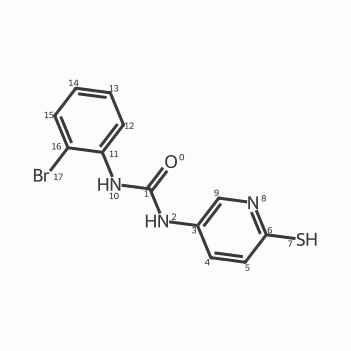 O=C(Nc1ccc(S)nc1)Nc1ccccc1Br